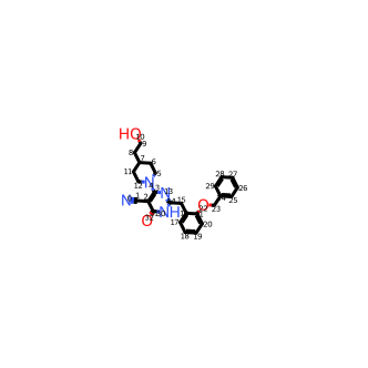 N#Cc1c(N2CCC(CCO)CC2)nc(Cc2ccccc2OCc2ccccc2)[nH]c1=O